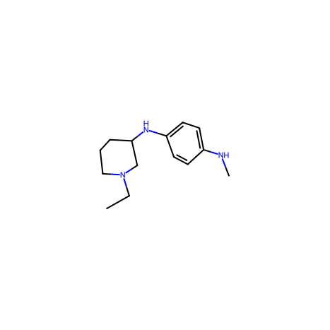 CCN1CCCC(Nc2ccc(NC)cc2)C1